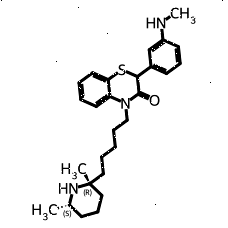 CNc1cccc(C2Sc3ccccc3N(CCCCC[C@]3(C)CCC[C@H](C)N3)C2=O)c1